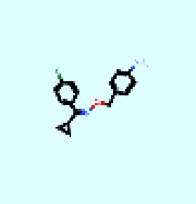 Nc1ccc(CON=C(c2ccc(Cl)cc2)C2CC2)cc1